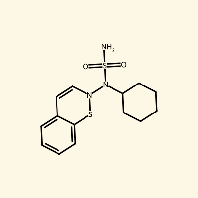 NS(=O)(=O)N(C1CCCCC1)N1C=Cc2ccccc2S1